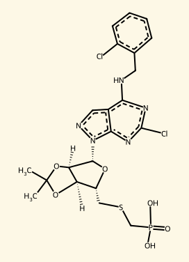 CC1(C)O[C@@H]2[C@H](O1)[C@@H](CSCP(=O)(O)O)O[C@H]2n1ncc2c(NCc3ccccc3Cl)nc(Cl)nc21